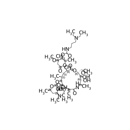 CC[C@H]1OC(=O)[C@H](C)[C@@H](O[C@H]2C[C@@](C)(OC)[C@@H](OC(=O)NCCCN(CC)CC)[C@H](C)O2)[C@H](C)[C@@H](O[C@@H]2O[C@H](C)C[C@H](N(C)C)[C@H]2O)[C@](C)(OC)C[C@@H](C)C(=O)N[C@H](C)[C@@H](O)[C@]1(C)O